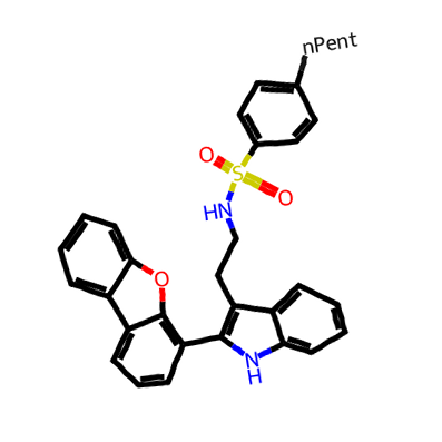 CCCCCc1ccc(S(=O)(=O)NCCc2c(-c3cccc4c3oc3ccccc34)[nH]c3ccccc23)cc1